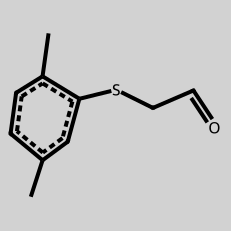 Cc1ccc(C)c(SCC=O)c1